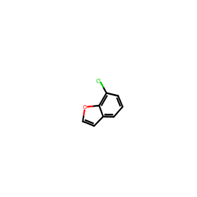 Clc1cccc2ccoc12